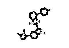 Cc1ncc(-c2ccc3[nH]nc(-c4nc5c(-c6ccc(F)cc6)nccc5[nH]4)c3c2)n1C